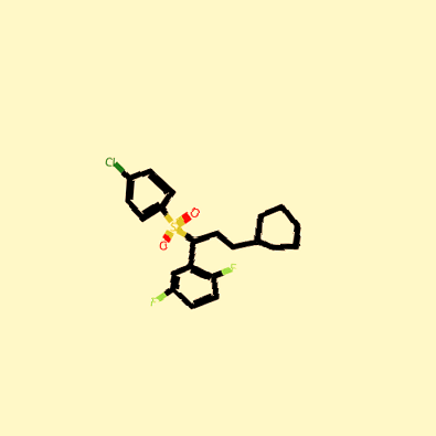 O=S(=O)(c1ccc(Cl)cc1)C(CCC1CCCCC1)c1cc(F)ccc1F